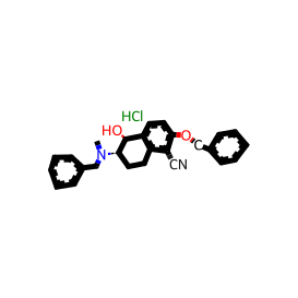 CN(Cc1ccccc1)[C@H]1CCc2c(ccc(OCc3ccccc3)c2C#N)[C@H]1O.Cl